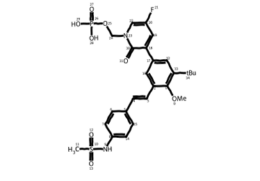 COc1c(C=Cc2ccc(NS(C)(=O)=O)cc2)cc(-c2cc(F)cn(COP(=O)(O)O)c2=O)cc1C(C)(C)C